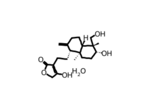 C=C1CC[C@@H]2[C@](C)(CO)[C@H](O)CC[C@@]2(C)[C@@H]1CCC1=C(O)COC1=O.O